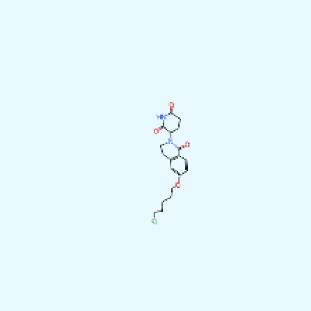 O=C1CCC(N2CCc3cc(OCCCCCCl)ccc3C2=O)C(=O)N1